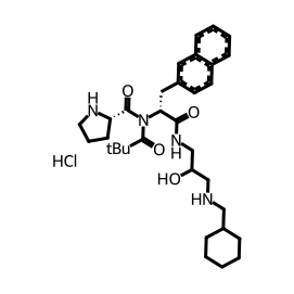 CC(C)(C)C(=O)N(C(=O)[C@@H]1CCCN1)[C@H](Cc1ccc2ccccc2c1)C(=O)NCC(O)CNCC1CCCCC1.Cl